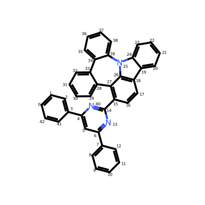 c1ccc(-c2cc(-c3ccccc3)nc(-c3ccc4c5ccccc5n5c4c3-c3ccccc3-c3ccccc3-5)n2)cc1